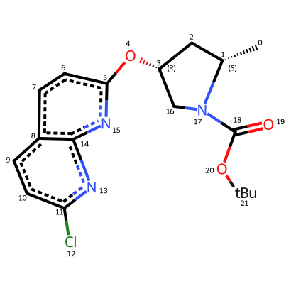 C[C@H]1C[C@@H](Oc2ccc3ccc(Cl)nc3n2)CN1C(=O)OC(C)(C)C